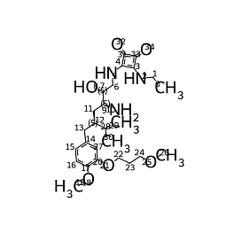 CCNc1c(NC[C@H](O)[C@@H](N)C[C@H](Cc2ccc(OC)c(OCCCOC)c2)C(C)C)c(=O)c1=O